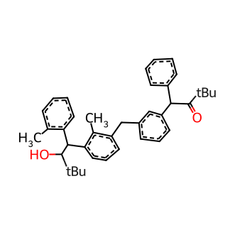 Cc1ccccc1C(c1cccc(Cc2cccc(C(C(=O)C(C)(C)C)c3ccccc3)c2)c1C)C(O)C(C)(C)C